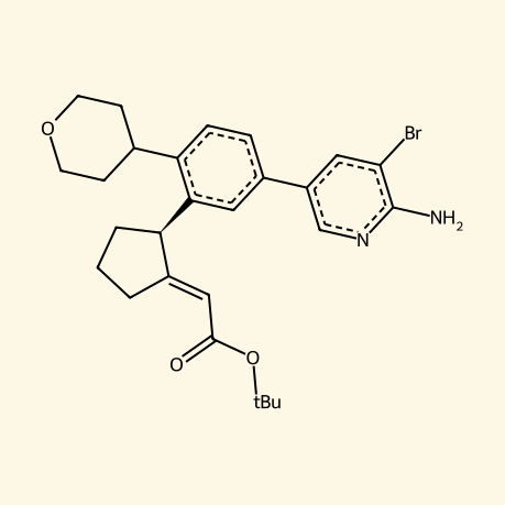 CC(C)(C)OC(=O)/C=C1\CCC[C@H]1c1cc(-c2cnc(N)c(Br)c2)ccc1C1CCOCC1